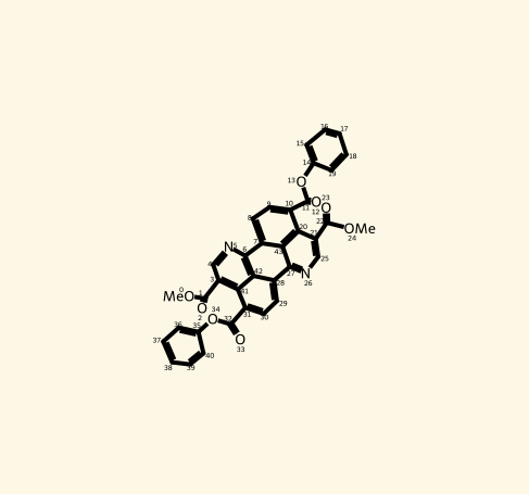 COC(=O)c1cnc2c3ccc(C(=O)Oc4ccccc4)c4c(C(=O)OC)cnc(c5ccc(C(=O)Oc6ccccc6)c1c52)c43